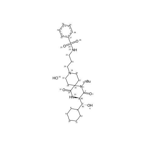 CCCCN1C(=O)[C@@H]([C@H](O)C2CCCCC2)NC(=O)C12CCN(CCCNS(=O)(=O)c1ccccc1)CC2.Cl